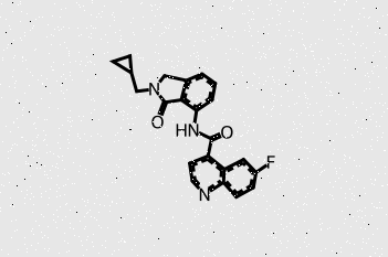 O=C(Nc1cccc2c1C(=O)N(CC1CC1)C2)c1ccnc2ccc(F)cc12